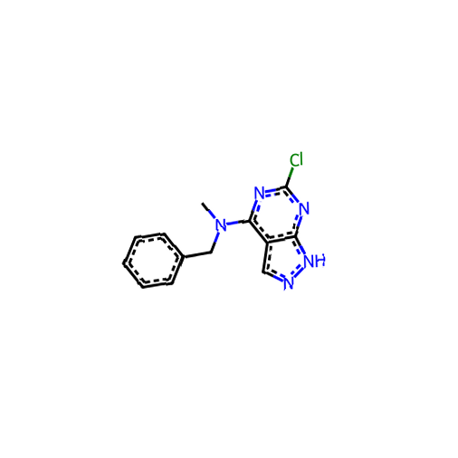 CN(Cc1ccccc1)c1nc(Cl)nc2[nH]ncc12